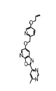 C=CCOc1ccc(COc2cnc3oc(-c4cc(C)ncn4)nc3c2)nc1